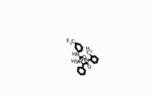 Cc1ccccc1NC(=O)C(c1ccccc1)N(S)C(=O)Nc1cccc(C(F)(F)F)c1